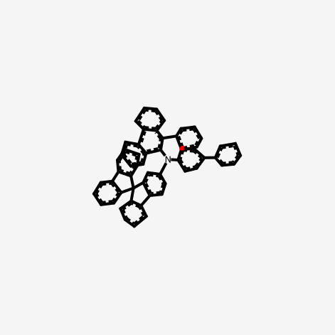 c1ccc(-c2ccc(N(c3ccc4c(c3)C3(c5ccccc5-c5ccccc53)c3ccccc3-4)c3c(-c4ccccc4)c4ccccc4c4ccccc34)cc2)cc1